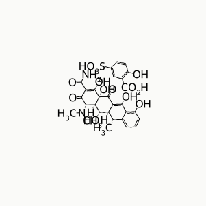 C[C@H]1c2cccc(O)c2C(O)=C2C(=O)[C@]3(O)C(O)=C(C(N)=O)C(=O)[C@@H](N(C)C)[C@@H]3[C@@H](O)[C@@H]21.O=C(O)c1cc(S(=O)(=O)O)ccc1O